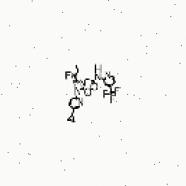 CC[C@H](F)[C@H]1CN(c2ccc(C3CC3)cn2)C(=O)N1CC(=O)Nc1cc(C(F)(F)F)ccn1